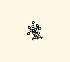 CC(C)(C)c1cc(-c2ccc3c(c2)N(c2cccc(-c4cc(C(C)(C)C)ccc4C(C)(C)C)c2)c2cc(-n4c5ccccc5c5ccccc54)cc4c2B3c2cc(-c3ccccc3)cc3c2N4c2ccc(-c4ccccc4)cc2-c2ccccc2-3)cc(C(C)(C)C)c1